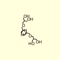 OCC(CO)COCc1cncc(COCC(CO)CO)n1